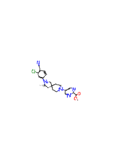 COC(=O)c1ncc(N2CCC3(CC2)C[C@H](C)N(c2ccc(C#N)c(Cl)c2)C3)cn1